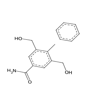 Cc1c(CO)cc(C(N)=O)cc1CO.c1ccccc1